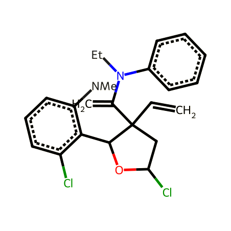 C=CC1(C(=C)N(CC)c2ccccc2)CC(Cl)OC1c1c(Cl)cccc1NC